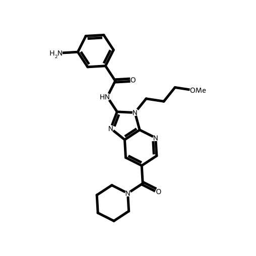 COCCCn1c(NC(=O)c2cccc(N)c2)nc2cc(C(=O)N3CCCCC3)cnc21